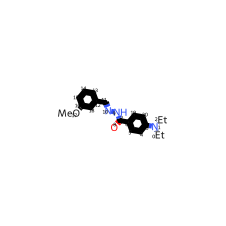 CCN(CC)c1ccc(C(=O)N/N=C/c2cccc(OC)c2)cc1